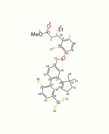 CC[C@@H](CC(=O)OC)c1cccc(OCc2ccc(-c3cc(C(F)F)ccc3F)c(C3=CCCC3(C)C)c2)c1F